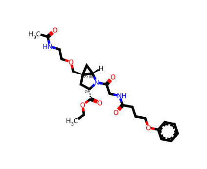 CCOC(=O)[C@@H]1C[C@]2(COCCNC(C)=O)C[C@@H]2N1C(=O)CNC(=O)CCCOc1ccccc1